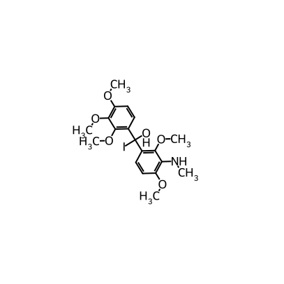 CNc1c(OC)ccc(C(O)(I)c2ccc(OC)c(OC)c2OC)c1OC